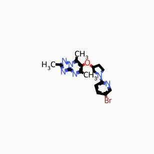 Cc1nc2nc(C)c(OC3CCN(c4ccc(Br)cn4)C3)c(C)n2n1